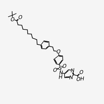 CC(C)(C)OC(=O)CCCCCCCCCc1ccc(CCOc2ccc(S(=O)(=O)Nc3cnc(C(=O)O)nc3)cc2)cc1